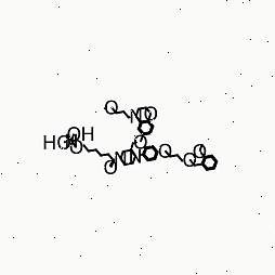 COCCCN1CCOc2ccc(OCC3CN(C(=O)CCCCCON(O)O)CCN3c3ccc(OCCCOCc4ccccc4OC)cc3)cc21